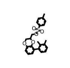 Cc1ccc(S(=O)(=O)OCC2COc3cccc(-c4cccc(C)c4C)c3O2)cc1